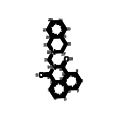 O=C1c2cccc3cccc(c23)C(=O)N1CN1CCc2ccccc2C1